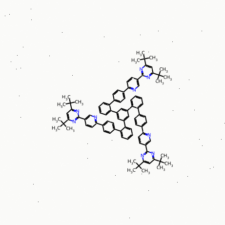 CC(C)(C)c1cc(C(C)(C)C)nc(-c2ccc(-c3ccc(-c4ccccc4-c4cc(-c5ccccc5-c5ccc(-c6ccc(-c7nc(C(C)(C)C)cc(C(C)(C)C)n7)cn6)cc5)cc(-c5ccccc5-c5ccc(-c6ccc(-c7nc(C(C)(C)C)cc(C(C)(C)C)n7)cn6)cc5)c4)cc3)nc2)n1